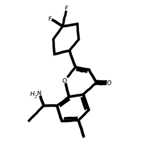 Cc1cc(C(C)N)c2oc(C3CCC(F)(F)CC3)cc(=O)c2c1